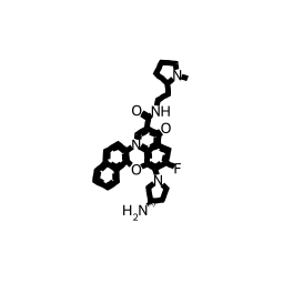 CN1CCCC1CCNC(=O)c1cn2c3c(c(N4CC[C@@H](N)C4)c(F)cc3c1=O)Oc1c-2ccc2ccccc12